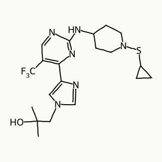 CC(C)(O)Cn1cnc(-c2nc(NC3CCN(SC4CC4)CC3)ncc2C(F)(F)F)c1